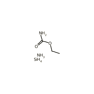 CCOC(N)=O.N.[SiH4]